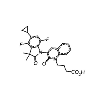 CC1(C)C(=O)N(c2cc3ccccc3n(CCCC(=O)O)c2=O)c2c(F)cc(C3CC3)c(F)c21